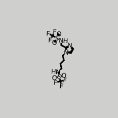 O=S(=O)(NCCCCn1ccnc1CNS(=O)(=O)C(F)(F)F)C(F)(F)F